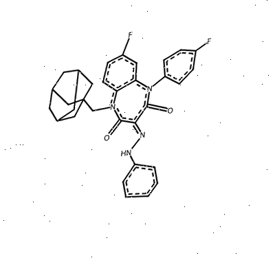 O=c1c(=NNc2ccccc2)c(=O)n(-c2ccc(F)cc2)c2cc(F)ccc2n1CC12CC3CC(CC(C3)C1)C2